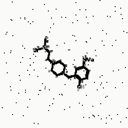 CNc1ccc(O)c(CN2CCN(CCN(Br)Br)CC2)c1